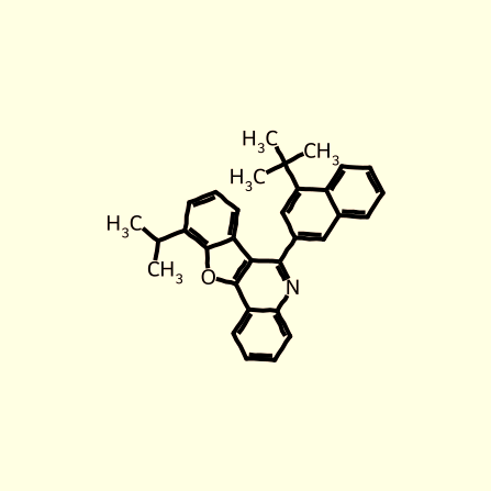 CC(C)c1cccc2c1oc1c3ccccc3nc(-c3cc(C(C)(C)C)c4ccccc4c3)c21